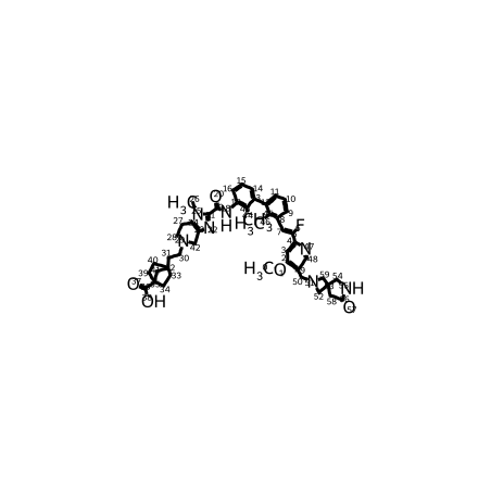 COc1cc(/C(F)=C/c2cccc(-c3cccc(NC(=O)c4nc5c(n4C)CCN(CCC46CCC(C(=O)O)(CC4)C6)C5)c3C)c2C)ncc1CN1CC2(CNC(=O)C2)C1